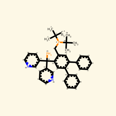 CC(C)(C)P(Cc1cc(-c2ccccc2)c(-c2ccccc2)cc1C(P)(c1cccnc1)c1cccnc1)C(C)(C)C